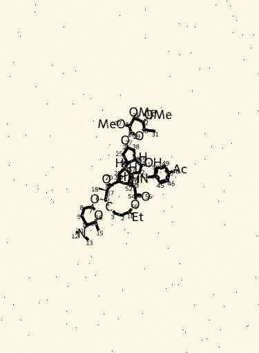 CC[C@H]1CCC[C@H](O[C@H]2CC[C@H](N(C)C)C(C)O2)[C@@H](C)C(=O)C2=C[C@H]3[C@@H]4C[C@H](O[C@@H]5OC(C)[C@H](OC)C(OC)C5OC)C[C@H]4[C@@H](O)[C@H](Nc4ccc(C(C)=O)cc4)[C@H]3[C@@H]2CC(=O)O1